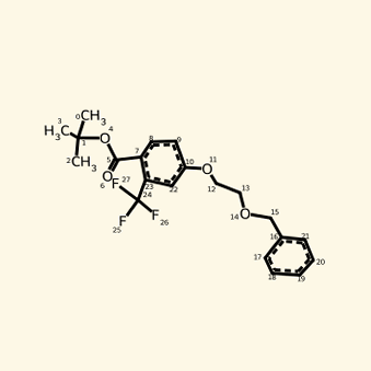 CC(C)(C)OC(=O)c1ccc(OCCOCc2ccccc2)cc1C(F)(F)F